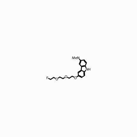 CNc1ccc2[nH]c3ccc(OCCOCCOCCF)cc3c2c1